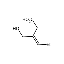 CCC=C(CO)CC(=O)O